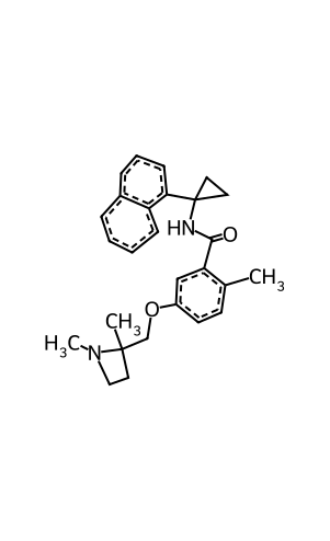 Cc1ccc(OCC2(C)CCN2C)cc1C(=O)NC1(c2cccc3ccccc23)CC1